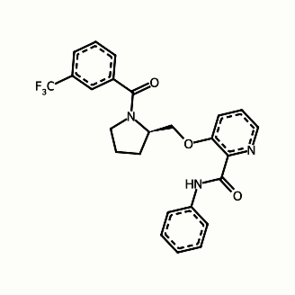 O=C(Nc1ccccc1)c1ncccc1OC[C@H]1CCCN1C(=O)c1cccc(C(F)(F)F)c1